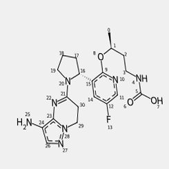 C[C@@H](CCNC(=O)O)Oc1ncc(F)cc1[C@H]1CCCN1C1=Nc2c(N)cnn2CC1